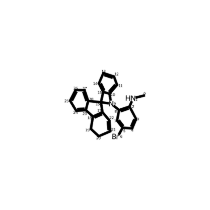 CNc1ccc(Br)cc1N1c2ccccc2C12C1=C(CCC=C1)c1ccccc12